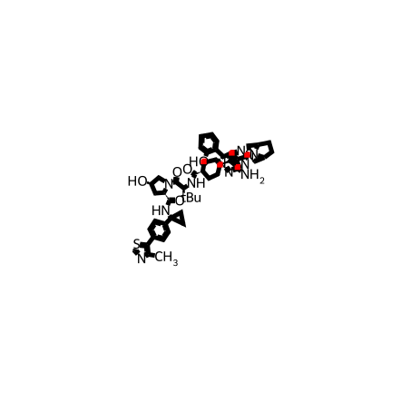 Cc1ncsc1-c1ccc(C2(NC(=O)[C@@H]3C[C@@H](O)CN3C(=O)[C@@H](NC(=O)[C@H]3CC[C@H](c4cnc(N5C6CCC5CN(c5cc(-c7ccccc7O)nnc5N)C6)nc4)CC3)C(C)(C)C)CC2)cc1